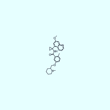 COc1cc(C2(NC(=O)c3cc(OCC4CCCCN4C)ccc3C)CC2)c2cccnc2c1